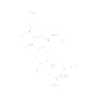 CCOC(=O)c1c2n(c3cc(N4C[C@@H](C)N[C@@H](C)C4)c(F)cc3c1=O)C(C(F)F)S2